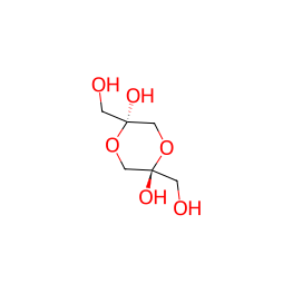 OC[C@@]1(O)CO[C@](O)(CO)CO1